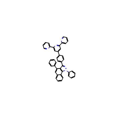 c1ccc(-c2cc3ccccc3c3c2c(-c2ccc(-c4cc(-c5ccccn5)nc(-c5ccccn5)c4)cc2)nn3-c2ccccc2)cc1